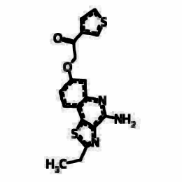 CCc1nc2c(N)nc3cc(OCC(=O)c4ccsc4)ccc3c2s1